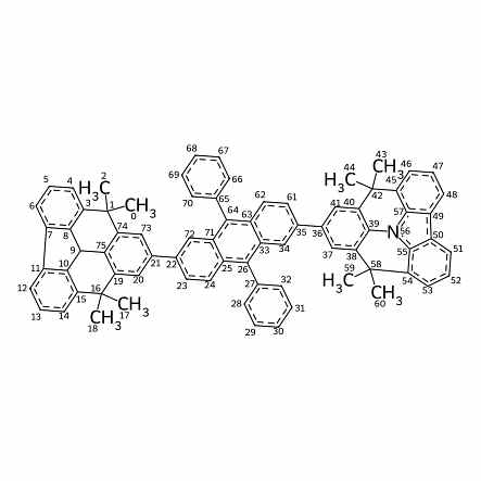 CC1(C)c2cccc3c2C2c4c-3cccc4C(C)(C)c3cc(-c4ccc5c(-c6ccccc6)c6cc(-c7cc8c9c(c7)C(C)(C)c7cccc%10c%11cccc(c%11n-9c7%10)C8(C)C)ccc6c(-c6ccccc6)c5c4)cc1c32